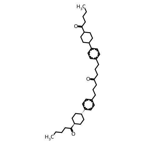 CCCCC(=O)C1CCC(c2ccc(CCCC(=O)CCCc3ccc([C@H]4CC[C@H](C(=O)CCCC)CC4)cc3)cc2)CC1